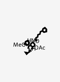 COc1cccc([C@@]23CCN(CC4CC4)C[C@H]2C(OC(C)=O)C[C@@H](NC(=O)CCCCCc2ccccc2)C3)c1